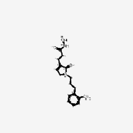 Cc1ccccc1CCCN1CC=C(CCC(=O)NO)C1=O